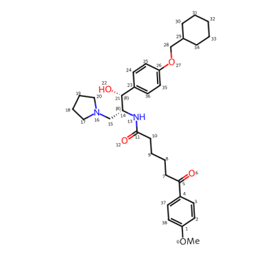 COc1ccc(C(=O)CCCCC(=O)N[C@H](CN2CCCC2)[C@H](O)c2ccc(OCC3CCCCC3)cc2)cc1